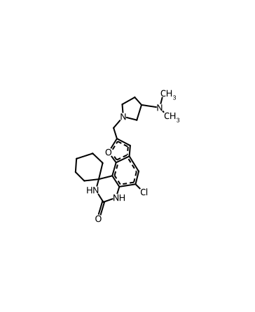 CN(C)C1CCN(Cc2cc3cc(Cl)c4c(c3o2)C2(CCCCC2)NC(=O)N4)C1